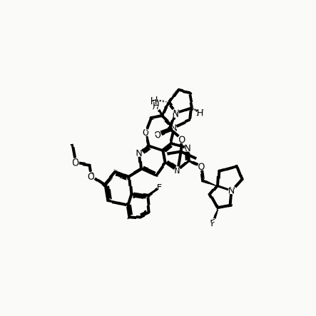 COCOc1cc(-c2cc3nc(OC[C@@]45CCCN4C[C@@H](F)C5)nc4c3c(n2)OC[C@@H]2[C@H]3CC[C@@H](CN42)N3C(=O)OC(C)(C)C)c2c(F)cccc2c1